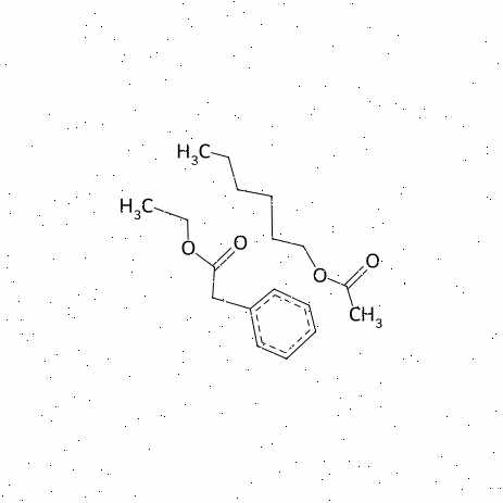 CCCCCCOC(C)=O.CCOC(=O)Cc1ccccc1